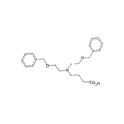 O=C(O)CCCN(CCOCc1ccccc1)CCOCc1ccccc1